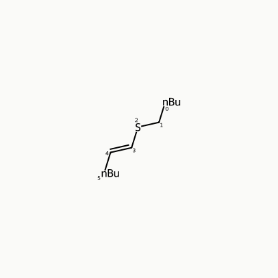 [CH2]CCCCSC=CCCCC